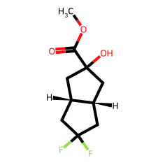 COC(=O)C1(O)C[C@H]2CC(F)(F)C[C@H]2C1